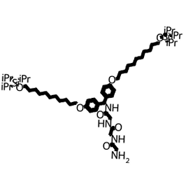 CC(C)[Si](OCCCCCCCCCCCOc1ccc(C(NC(=O)CNC(=O)CNC(=O)CN)c2ccc(OCCCCCCCCCCCO[Si](C(C)C)(C(C)C)C(C)C)cc2)cc1)(C(C)C)C(C)C